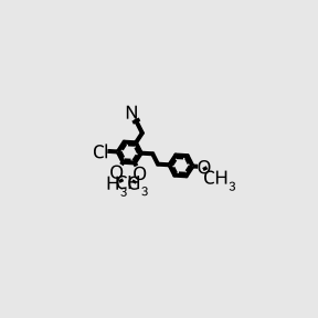 COc1ccc(CCc2c(CC#N)cc(Cl)c(OC)c2OC)cc1